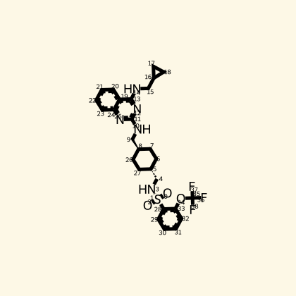 O=S(=O)(NC[C@H]1CC[C@H](CNc2nc(NCC3CC3)c3ccccc3n2)CC1)c1ccccc1OC(F)(F)F